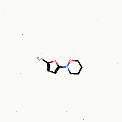 O=[N+]([O-])c1ccc(N2CCCCO2)o1